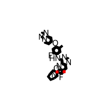 C=C(F)C(=O)N1C2CCC1CC(c1ccc3ncnc(Nc4cc(C)c(Oc5ccn6ncnc6c5)cc4F)c3n1)C2